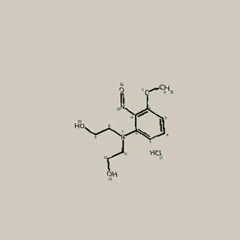 COc1cccc(N(CCO)CCO)c1N=O.Cl